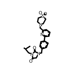 CC(C)CN1C(=O)CN(Cc2ccc(-c3cccc(CN4CCS(=O)(=O)CC4)n3)cc2)C1=O